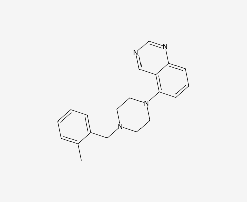 Cc1ccccc1CN1CCN(c2cccc3ncncc23)CC1